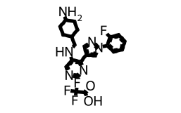 NC1CCC(CNc2cncnc2-c2cnn(-c3ccccc3F)c2)CC1.O=C(O)C(F)(F)F